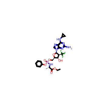 CCOC(=O)[C@H](C)NP(=O)(OC[C@H]1O[C@@H](n2cnc3c(NC4CC4)nc(N)nc32)[C@@H](C(F)(F)F)[C@@H]1O)Oc1ccccc1